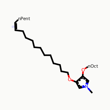 CCCCC/C=C\CCCCCCCCCCCOc1cn(C)cc1OCCCCCCCC